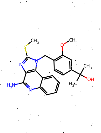 COc1cc(C(C)(C)O)ccc1Cn1c(SC)nc2c(N)nc3ccccc3c21